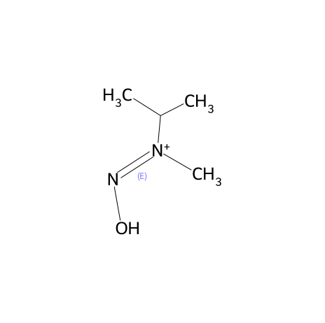 CC(C)/[N+](C)=N/O